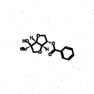 CC(C)(C)[C@@]1(O)CO[C@@H]2[C@@H](OC(=O)c3ccccc3)CO[C@@H]21